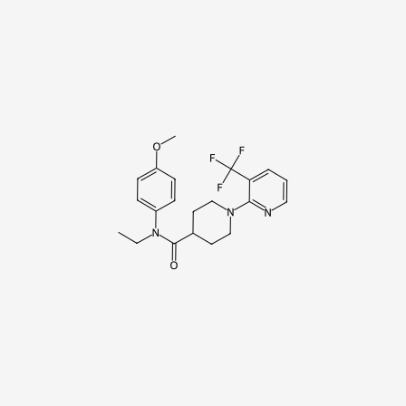 CCN(C(=O)C1CCN(c2ncccc2C(F)(F)F)CC1)c1ccc(OC)cc1